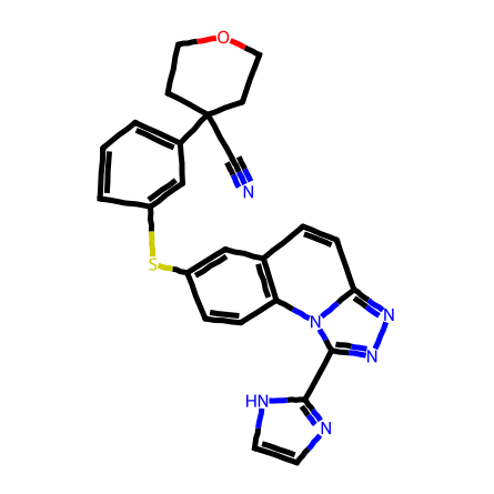 N#CC1(c2cccc(Sc3ccc4c(ccc5nnc(-c6ncc[nH]6)n54)c3)c2)CCOCC1